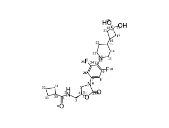 O=C(NC[C@H]1CN(c2cc(F)c(N3CCC(C4CS(O)(O)C4)CC3)c(F)c2)C(=O)O1)C1CCC1